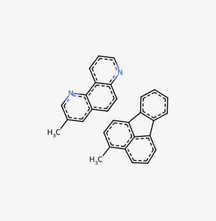 Cc1ccc2c3c(cccc13)-c1ccccc1-2.Cc1cnc2c(ccc3ncccc32)c1